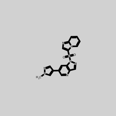 Cn1cc(-c2cnc3cnn(S(=O)(=O)c4cnc5ccccn45)c3c2)cn1